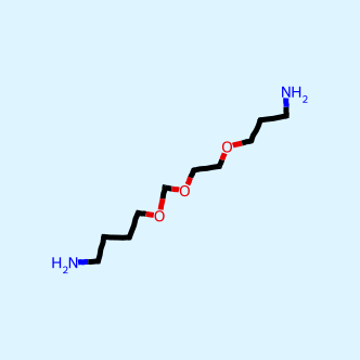 NCCCCOCOCCOCCCN